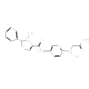 COC(=O)CN(C)c1ccc(NC(=O)C2=COC(c3ccccc3)N2C(F)(F)F)cn1